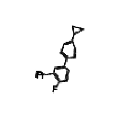 CC(C)c1cc(-c2ccc(C3CC3)cc2)ccc1F